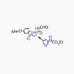 CCOC(=O)Nc1cncc(C#C[C@H](CN2Cc3ccc(OC)cc3C2=O)NC(=O)NC=O)c1